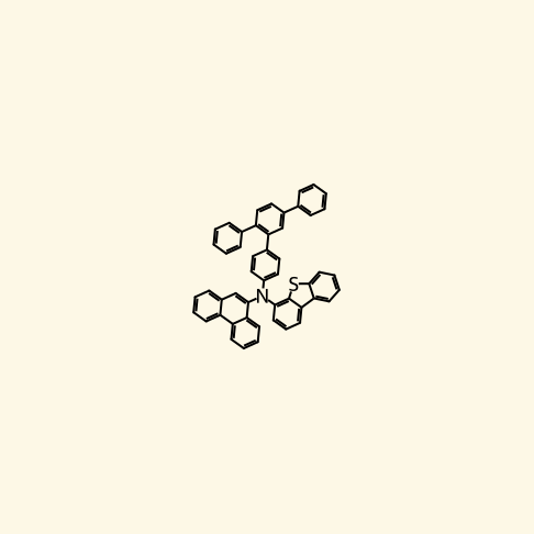 c1ccc(-c2ccc(-c3ccccc3)c(-c3ccc(N(c4cc5ccccc5c5ccccc45)c4cccc5c4sc4ccccc45)cc3)c2)cc1